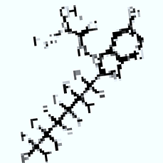 CN(C)C(=O)On1c(C(F)(F)C(F)(F)C(F)(F)C(F)(F)C(F)(F)C(F)(F)F)nc2ncc(Br)cc21